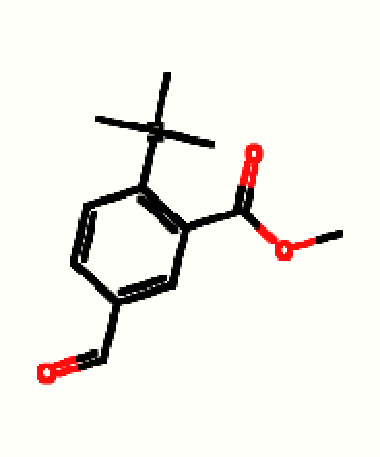 COC(=O)c1cc(C=O)ccc1[Si](C)(C)C